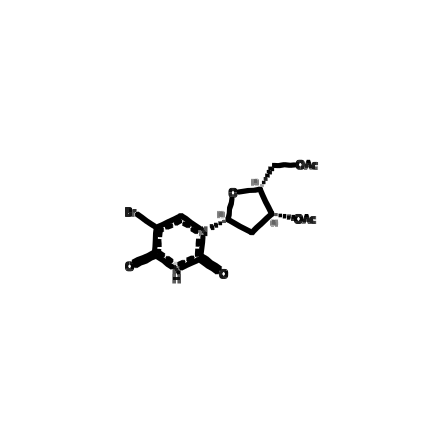 CC(=O)OC[C@H]1O[C@@H](n2cc(Br)c(=O)[nH]c2=O)C[C@H]1OC(C)=O